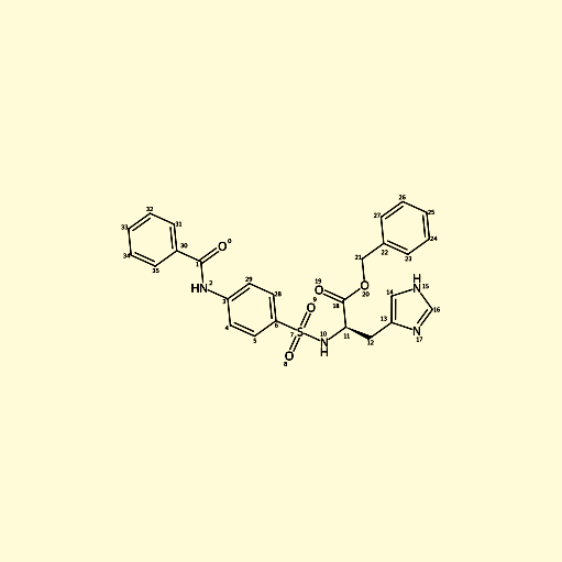 O=C(Nc1ccc(S(=O)(=O)N[C@H](Cc2c[nH]cn2)C(=O)OCc2ccccc2)cc1)c1ccccc1